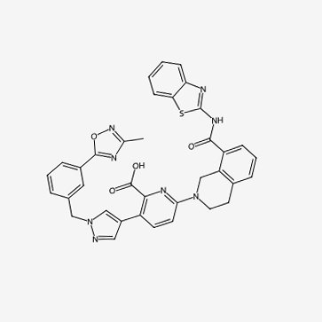 Cc1noc(-c2cccc(Cn3cc(-c4ccc(N5CCc6cccc(C(=O)Nc7nc8ccccc8s7)c6C5)nc4C(=O)O)cn3)c2)n1